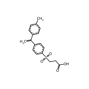 C=C(c1ccc(C)cc1)c1ccc(S(=O)(=O)CCC(=O)O)cc1